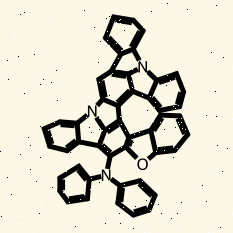 c1ccc(N(c2ccccc2)c2c3oc4ccccc4c3c3c4c5c6ccccc6n6c7ccccc7c(cc4n4c7ccccc7c2c34)c56)cc1